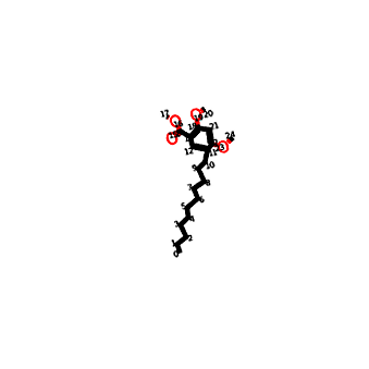 CCCCCCCCCCCc1cc(C(=O)OC)c(OC)cc1OC